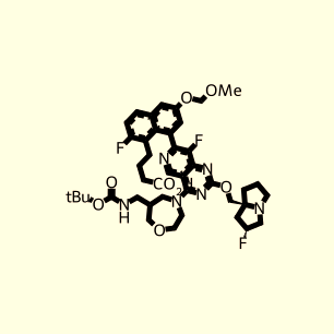 COCOc1cc(-c2ncc3c(N4CCOCC(CNC(=O)OC(C)(C)C)C4)nc(OC[C@@]45CCCN4C[C@H](F)C5)nc3c2F)c2c(CCCC(=O)O)c(F)ccc2c1